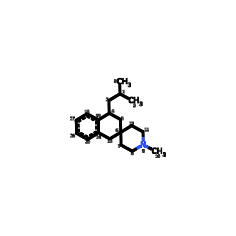 CC(C)CC1CC2(CCN(C)CC2)Cc2ccccc21